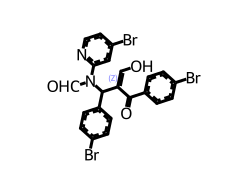 O=CN(c1cc(Br)ccn1)C(/C(=C/O)C(=O)c1ccc(Br)cc1)c1ccc(Br)cc1